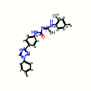 Cc1ccc(-n2cnc(-c3ccc(NC(=O)/N=C(\S)Nc4ccc(C)cc4Cl)cc3)n2)cc1